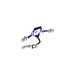 CCCCCCCCc1n(CCC)cc[n+]1CCC